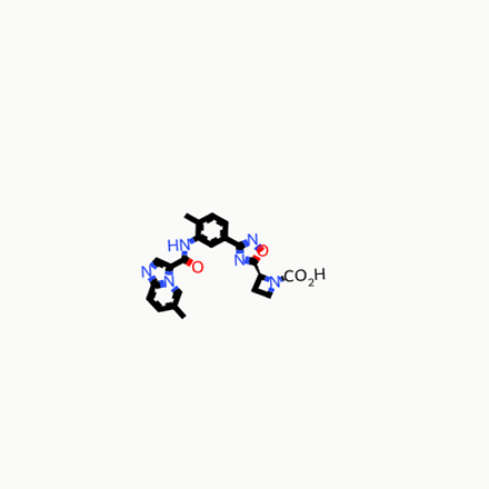 Cc1ccc2ncc(C(=O)Nc3cc(-c4noc([C@@H]5CCN5C(=O)O)n4)ccc3C)n2c1